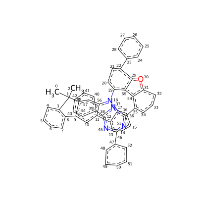 CC1(C)c2ccccc2-c2cc3c4ccccc4n(-c4ccc(-c5ccccc5)c5oc6cccc(-c7nc(-c8ccccc8)nc(-c8ccccc8)n7)c6c45)c3cc21